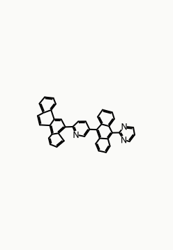 c1cnc(-c2c3ccccc3c(-c3ccc(-c4cc5c6ccccc6ccc5c5ccccc45)nc3)c3ccccc23)nc1